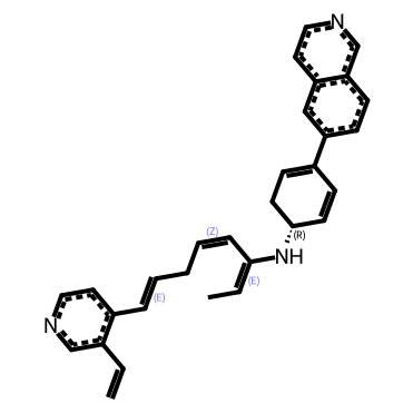 C=Cc1cnccc1/C=C/C/C=C\C(=C/C)N[C@H]1C=CC(c2ccc3cnccc3c2)=CC1